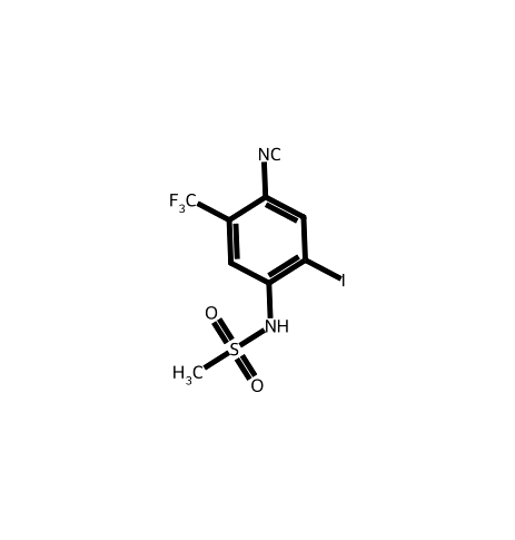 [C-]#[N+]c1cc(I)c(NS(C)(=O)=O)cc1C(F)(F)F